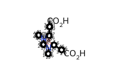 O=C(O)c1ccc(-c2ccc3c(c2)N(c2ccccc2)c2cccc4c2B3c2ccc(-c3ccc(C(=O)O)cc3)cc2N4c2ccccc2)cc1